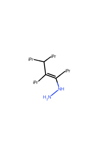 CC(C)C(NN)=C(C(C)C)C(C(C)C)C(C)C